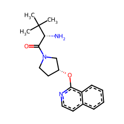 CC(C)(C)[C@H](N)C(=O)N1CC[C@@H](Oc2nccc3ccccc23)C1